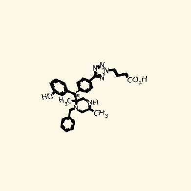 CC1CN(Cc2ccccc2)C(C)([C@H](c2ccc(-c3nnn(CCCC(=O)O)n3)cc2)c2cccc(O)c2)CN1